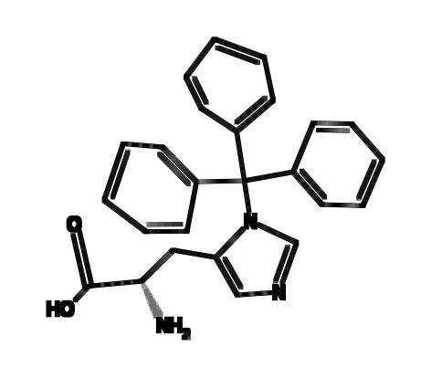 N[C@@H](Cc1cncn1C(c1ccccc1)(c1ccccc1)c1ccccc1)C(=O)O